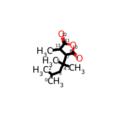 CC(C)CC(C)(C)C1C(=O)OC(=O)C1C